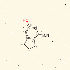 N#Cc1cc(O)cc2c1CCC2